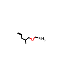 C=CCC(C)COC[SiH3]